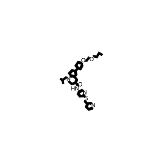 CCCCOCCOc1ccc(-c2ccc3c(c2)C=C(C(=O)Nc2ccc(SCc4cccnc4)nc2)CCN3CC(C)C)cc1